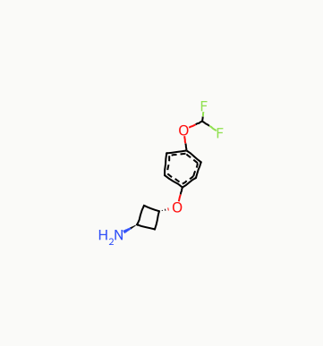 N[C@H]1C[C@H](Oc2ccc(OC(F)F)cc2)C1